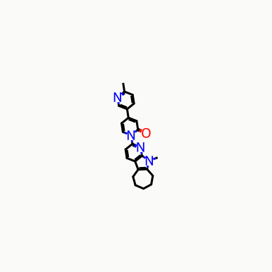 Cc1ccc(-c2ccn(-c3ccc4c5c(n(C)c4n3)CCCCC5)c(=O)c2)cn1